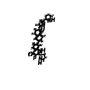 O=c1c(F)c(C2CCCN2)[nH]c2cc(-c3ccc4cc(-c5cnc([C@@H]6CCCN6)[nH]5)ccc4c3)ccc12